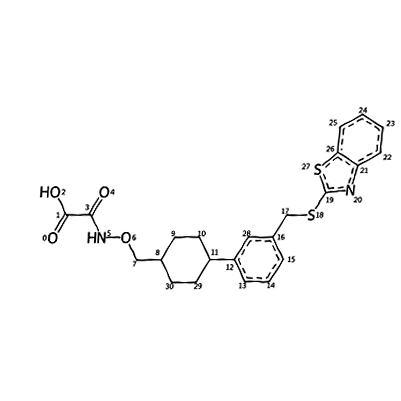 O=C(O)C(=O)NOCC1CCC(c2cccc(CSc3nc4ccccc4s3)c2)CC1